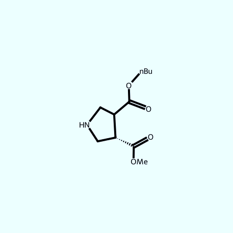 CCCCOC(=O)C1CNC[C@H]1C(=O)OC